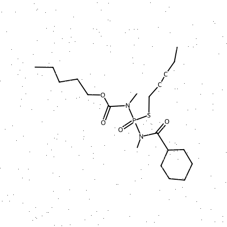 CCCCCOC(=O)N(C)P(=O)(SCCCCC)N(C)C(=O)C1CCCCC1